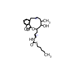 CCCCCSC(=O)N/C=C/CC1CC(O)C(C)C/C=C/Cc2cccc(O)c2C(=O)O1